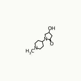 CN1CCC(N2CC(O)CC2=O)CC1